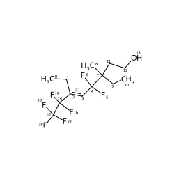 CC/C(=C\C(F)(F)C(C)(CC)CCO)C(F)(F)C(F)(F)F